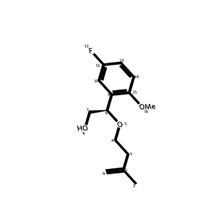 C=C(C)CCO[C@@H](CO)c1cc(F)ccc1OC